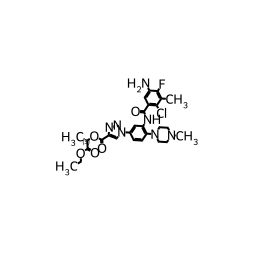 CCOC(=O)[C@H](C)OC(=O)c1cn(-c2ccc(N3CCN(C)CC3)c(NC(=O)c3cc(N)c(F)c(C)c3Cl)c2)nn1